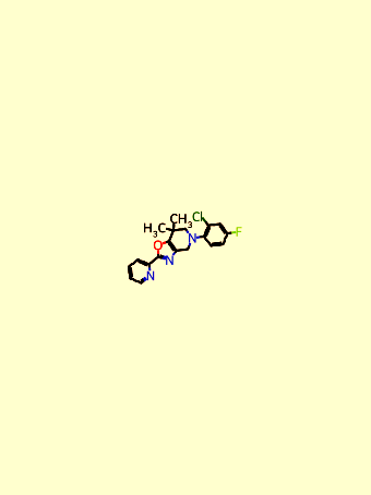 CC1(C)CN(c2ccc(F)cc2Cl)Cc2nc(-c3ccccn3)oc21